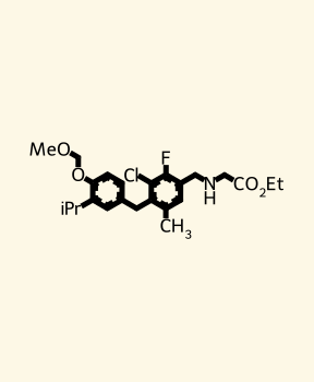 CCOC(=O)CNCc1cc(C)c(Cc2ccc(OCOC)c(C(C)C)c2)c(Cl)c1F